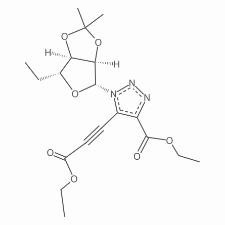 CCOC(=O)C#Cc1c(C(=O)OCC)nnn1[C@@H]1O[C@H](CC)[C@H]2OC(C)(C)O[C@H]21